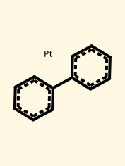 [Pt].c1ccc(-c2ccccc2)cc1